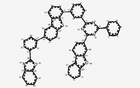 c1ccc(-c2nc(-c3cccc(-c4cccc5c4sc4ccc(-c6cccc(-c7nc8ccccc8o7)c6)cc45)c3)nc(-c3ccc4c(c3)oc3ccccc34)n2)cc1